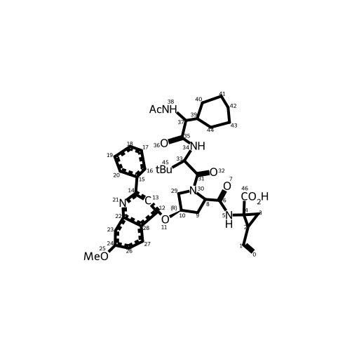 C=CC1CC1(NC(=O)C1C[C@@H](Oc2cc(-c3ccccc3)nc3cc(OC)ccc23)CN1C(=O)C(NC(=O)C(NC(C)=O)C1CCCCC1)C(C)(C)C)C(=O)O